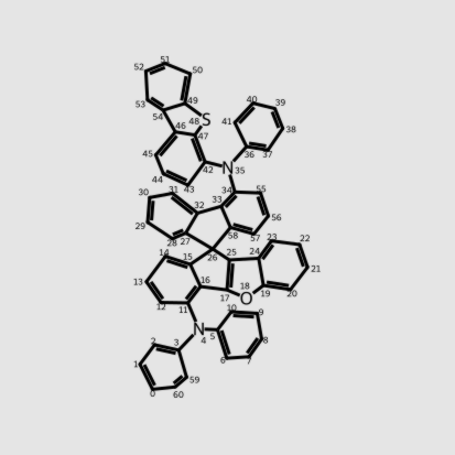 c1ccc(N(c2ccccc2)c2cccc3c2-c2oc4ccccc4c2C32c3ccccc3-c3c(N(c4ccccc4)c4cccc5c4sc4ccccc45)cccc32)cc1